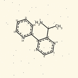 CC(N)c1nccnc1-c1ccccn1